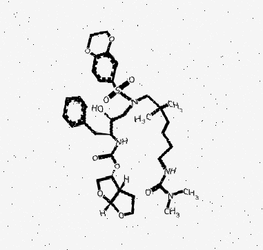 CN(C)C(=O)NCCCCC(C)(C)CN(C[C@H](O)[C@H](Cc1ccccc1)NC(=O)O[C@H]1CO[C@H]2OCC[C@H]21)S(=O)(=O)c1ccc2c(c1)OCCO2